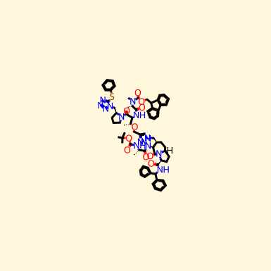 C[C@H](NC(=O)OC(C)(C)C)C(=O)N[C@@H]1C(=O)N2[C@@H](CC[C@@H]1Cn1cc(CO[C@H](C)[C@H](NC(=O)[C@H](C)N(C)C(=O)OCC3c4ccccc4-c4ccccc43)C(=O)N3CCC[C@H]3Cn3nnnc3Sc3ccccc3)nn1)CC[C@H]2C(=O)NC(c1ccccc1)c1ccccc1